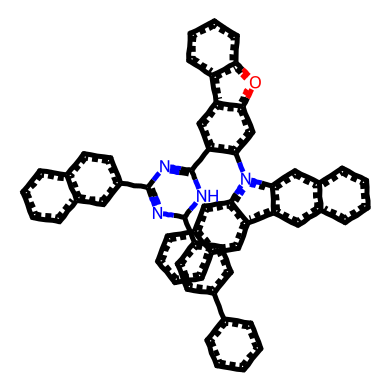 c1ccc(-c2ccc(C3N=C(c4ccc5ccccc5c4)N=C(c4cc5c(cc4-n4c6cc7ccccc7cc6c6cc7ccccc7cc64)oc4ccccc45)N3)cc2)cc1